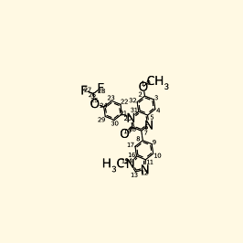 COc1ccc2nc(-c3ccc4ncn(C)c4c3)c(=O)n(-c3ccc(OC(F)F)cc3)c2c1